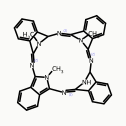 CN1/C2=N\c3c4ccccc4c(n3C)/N=C3\NC(/N=c4/c5ccccc5/c(n4C)=N/C1c1ccccc12)c1ccccc13